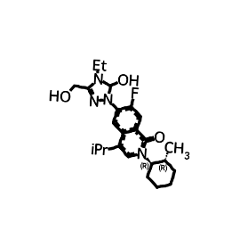 CCN1C(CO)=NN(c2cc3c(C(C)C)cn([C@@H]4CCCC[C@H]4C)c(=O)c3cc2F)C1O